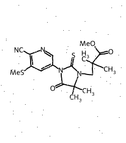 COC(=O)C(C)(C)CN1C(=S)N(c2cnc(C#N)c(SC)c2)C(=O)C1(C)C